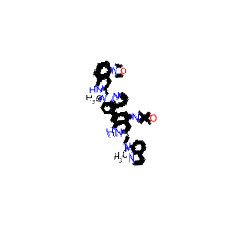 CN(CC[C@H]1Cc2c(cc(C3CC[C@H](N(C)C[C@@H]4Cc5c(cccc5N5CCOCC5)CN4)c4ncccc43)cc2N2CC3(COC3)C2)CN1)[C@H]1CCCc2cccnc21